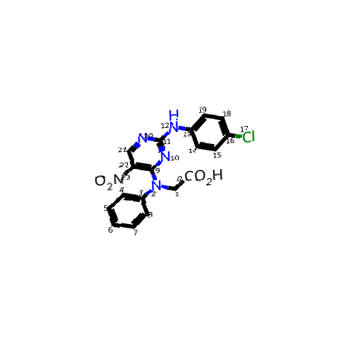 O=C(O)CN(c1ccccc1)c1nc(Nc2ccc(Cl)cc2)ncc1[N+](=O)[O-]